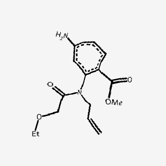 C=CCN(C(=O)COCC)c1cc(N)ccc1C(=O)OC